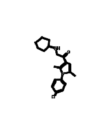 Cc1cc(C(=O)CNC2CCCCC2)c(C)n1-c1ccc(Cl)cc1